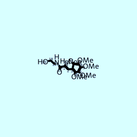 CCCCCCCCCC(=Cc1c(C)c(OC)c(OC)c(OC)c1OC)C(=O)NCCO